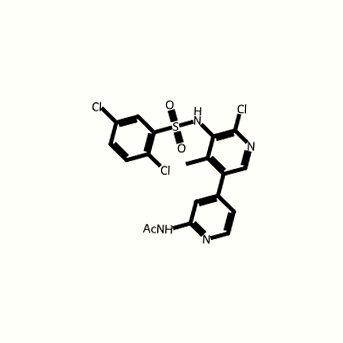 CC(=O)Nc1cc(-c2cnc(Cl)c(NS(=O)(=O)c3cc(Cl)ccc3Cl)c2C)ccn1